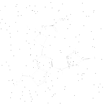 C=CC(=O)NC1(C)CN(c2nc(Nc3cnn(C)c3)c3ncn(CC)c3n2)C1